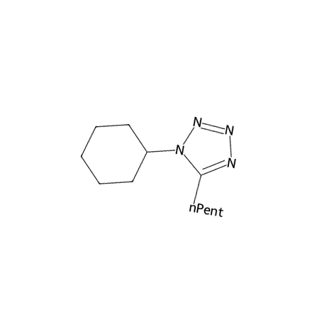 CCCCCc1nnnn1C1CCCCC1